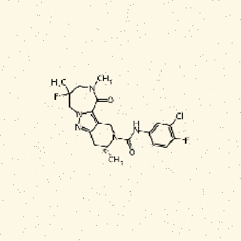 C[C@@H]1Cc2nn3c(c2CN1C(=O)Nc1ccc(F)c(Cl)c1)C(=O)N(C)CC(C)(F)C3